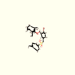 Cc1ccc(S(=O)(=O)Cc2ccc(Br)c(COc3c(C)cccc3C)c2)cc1